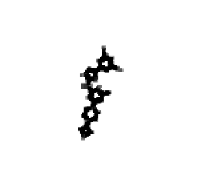 Cc1cc(N2CCN(C3COC3)CC2)cc(Nc2ncc(-c3cc(F)cc(F)c3)o2)n1